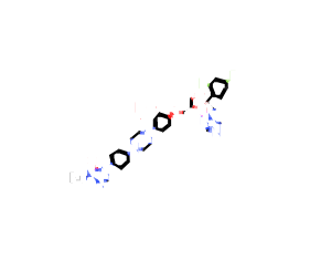 CCC(C)n1ncn(-c2ccc(N3CCN(c4ccc(OC[C@H]5CO[C@](Cn6cncn6)(c6ccc(F)cc6F)O5)cc4)CC3)cc2)c1=O.O